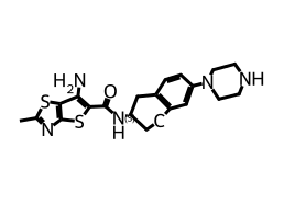 Cc1nc2sc(C(=O)N[C@H]3CCc4cc(N5CCNCC5)ccc4C3)c(N)c2s1